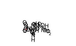 N[C@@H](CC1CCCCC1)C(O)CC(=O)N[C@H]1C2CCN(CC2)C1C(=O)[C@H](Cc1c[nH]cn1)NC(=O)[C@H](Cc1ccccc1)NC(=O)N1CCOCC1